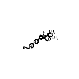 Cc1cc2c(c(C)n1)OCCc1c-2[nH]c2ccc(C3CCN(C4CCN(CC(C)C)CC4)CC3)cc12